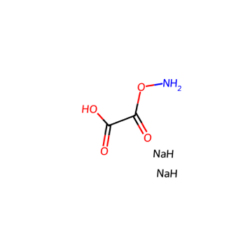 NOC(=O)C(=O)O.[NaH].[NaH]